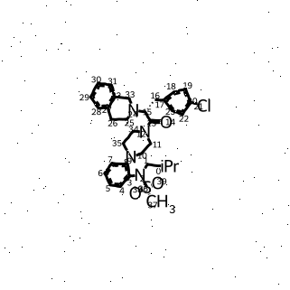 CC(C)CN(c1ccccc1N1CCN(C(=O)[C@@H](Cc2ccc(Cl)cc2)N2[CH]Cc3ccccc3C2)CC1)S(C)(=O)=O